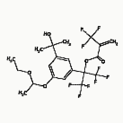 C=C(C(=O)OC(c1cc(OC(C)OCC)cc(C(C)(C)O)c1)(C(F)(F)F)C(F)(F)F)C(F)(F)F